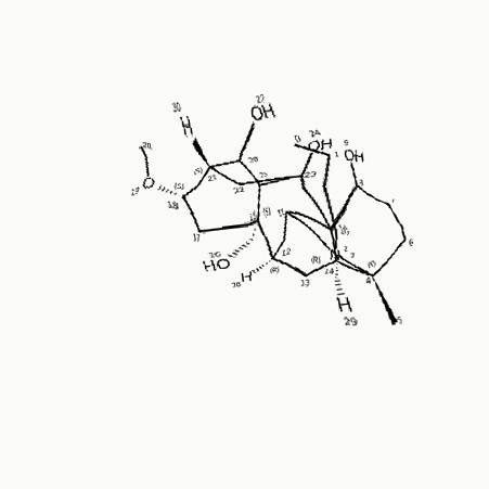 CCN1C[C@]2(C)CCC(O)C34C1[C@@H](C[C@@H]32)[C@@]1(O)C[C@H](OC)[C@H]2CC4(O)C1C2O